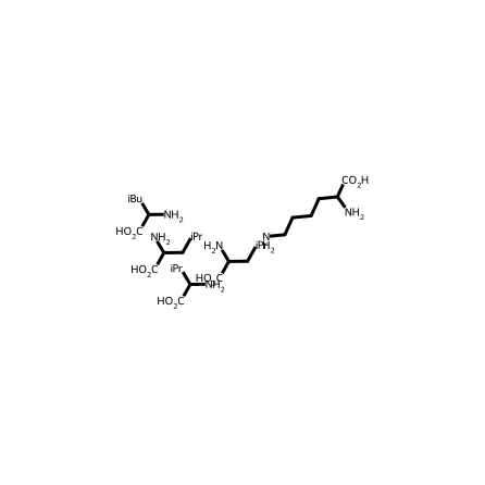 CC(C)C(N)C(=O)O.CC(C)CC(N)C(=O)O.CC(C)CC(N)C(=O)O.CCC(C)C(N)C(=O)O.NCCCCC(N)C(=O)O